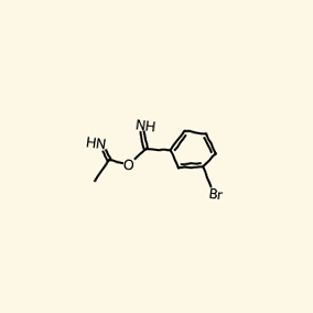 CC(=N)OC(=N)c1cccc(Br)c1